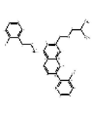 CC(C)COCc1nc(NCCc2ccccc2F)c2ccc(-c3ncccc3Cl)nc2n1